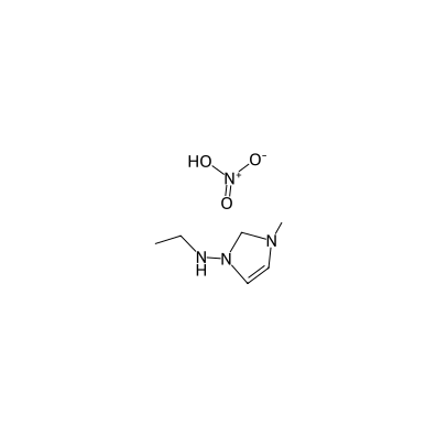 CCNN1C=CN(C)C1.O=[N+]([O-])O